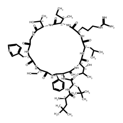 CC[C@H](C)[C@@H]1NC(=O)[C@@H](CCCNC(=N)N)NC(=O)[C@H](CC(C)C)NC(=O)[C@H]([C@H](O)C(C)C)NC(=O)[C@@H](NC(=O)[C@H](CC(C)(C)C)NC(=O)[C@H](N)CC(C)(C)C)[C@@H](c2ccccc2)NC(=O)[C@H](CO)NC(=O)[C@H](Cc2cccnc2)NC(=O)CNC(=O)[C@H]([C@H](C)O)NC1=O